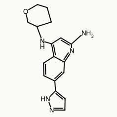 Nc1cc(NC2CCCOC2)c2ccc(-c3ccn[nH]3)cc2n1